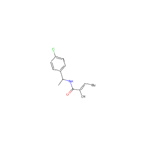 CC(NC(=O)C(C#N)=CC(C)(C)C)c1ccc(Cl)cc1